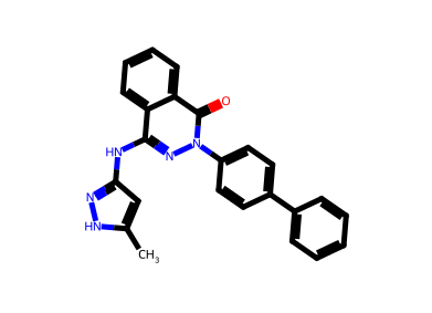 Cc1cc(Nc2nn(-c3ccc(-c4ccccc4)cc3)c(=O)c3ccccc23)n[nH]1